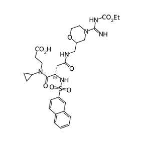 CCOC(=O)NC(=N)N1CCOC(CNC(=O)C[C@H](NS(=O)(=O)c2ccc3ccccc3c2)C(=O)N(CCC(=O)O)C2CC2)C1